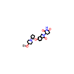 CCOC1CCN([C@@H]2CCC[C@@H]2Oc2ccc3c(c2)CN(C2CCC(=O)NC2=O)C3=O)CC1